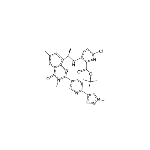 Cc1cc([C@@H](C)Nc2ccc(Cl)nc2C(=O)OC(C)(C)C)c2nc(-c3ccc(-c4cnn(C)c4)nc3)n(C)c(=O)c2c1